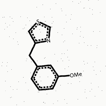 COc1cccc(Cc2cs[c]n2)c1